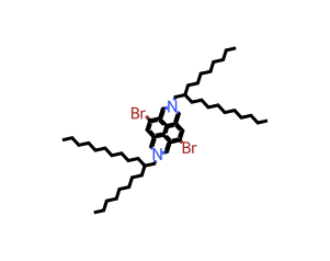 CCCCCCCCCCC(CCCCCCCC)CN1C=c2cc(Br)c3c4c(cc(Br)c(c24)=C1)=CN(CC(CCCCCCCC)CCCCCCCCCC)C=3